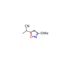 COc1cc(C(C)C#N)on1